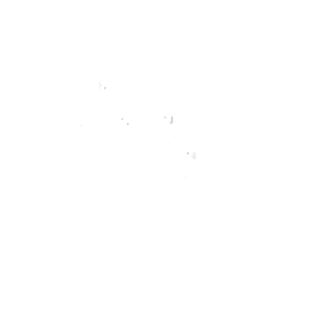 O=C(Nc1ccnc(Br)n1)N[C@H]1CCOc2c(Cl)cccc21